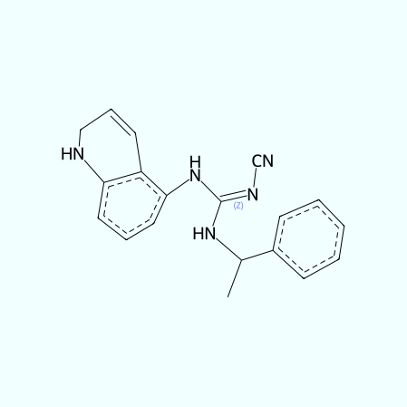 CC(N/C(=N/C#N)Nc1cccc2c1C=CCN2)c1ccccc1